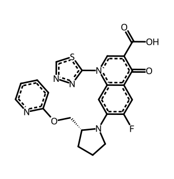 O=C(O)c1cn(-c2nncs2)c2cc(N3CCC[C@@H]3COc3ccccn3)c(F)cc2c1=O